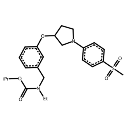 CCN(Cc1cccc(OC2CCN(c3ccc(S(C)(=O)=O)cc3)C2)c1)C(=O)OC(C)C